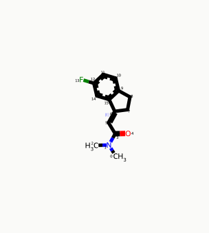 CN(C)C(=O)/C=C1\CCc2ccc(F)cc21